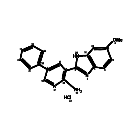 COc1ccc2nc(-c3cc(-c4ccccc4)cnc3N)[nH]c2c1.Cl